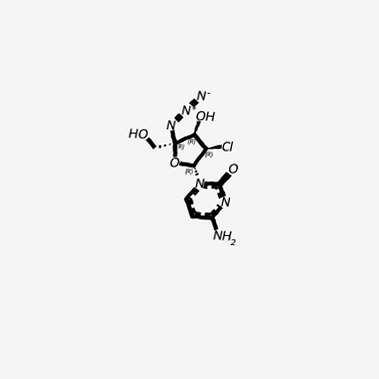 [N-]=[N+]=N[C@]1(CO)O[C@@H](n2ccc(N)nc2=O)[C@H](Cl)[C@@H]1O